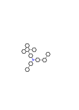 c1ccc(-c2ccc(N(c3ccc(-c4cccc(-c5ccccc5)c4)cc3)c3ccc(-c4c(-c5ccccc5)c5ccccc5c5ccccc45)cc3)cc2)cc1